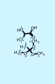 CC(O)C(=O)O.COC(C)(OC)OC